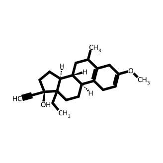 C#C[C@]1(O)CC[C@H]2[C@@H]3CC(C)C4=C(CC=C(OC)C4)[C@H]3CCC21CC